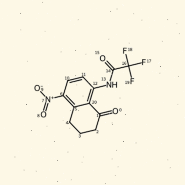 O=C1CCCc2c([N+](=O)[O-])ccc(NC(=O)C(F)(F)F)c21